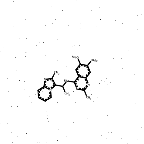 COc1cc2nc(C)nc(NC(C)c3c(C)nc4ccccn34)c2cc1OC